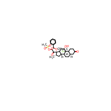 C[C@H]1C[C@H]2[C@@H]3CC[C@@H]4CC(=O)CC[C@]4(C)[C@@]3(F)[C@@H](O)C[C@]2(C)[C@]1(OC(=O)c1ccccc1)C(=O)COS(C)(=O)=O